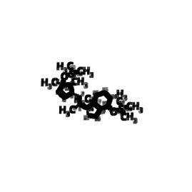 C[C@H](C[C@@H]1C=C[C@@](C)(O[Si](C)(C)C)C1)[C@H]1CCC2C(O[Si](C)(C)C)CCC[C@]21C